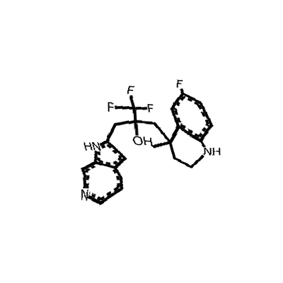 CC1(CC(O)(Cc2cc3ccncc3[nH]2)C(F)(F)F)CCNc2ccc(F)cc21